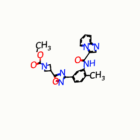 CCOC(=O)N1CC(c2nc(-c3ccc(C)c(NC(=O)c4cnc5ccccn45)c3)no2)C1